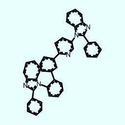 c1ccc(-c2nc3ccccc3n2-c2ccc(-c3cccc(-c4ccccc4-n4c(-c5ccccc5)nc5ccccc54)c3)nc2)cc1